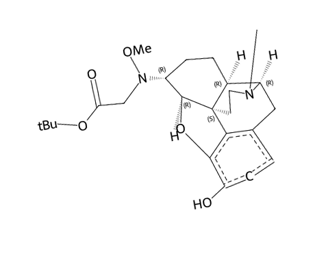 CON(CC(=O)OC(C)(C)C)[C@@H]1CC[C@H]2[C@H]3Cc4ccc(O)c5c4[C@@]2(CCN3C)[C@H]1O5